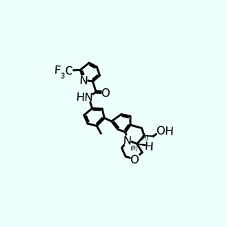 Cc1ccc(NC(=O)c2cccc(C(F)(F)F)n2)cc1-c1ccc2c(c1)N1CCOC[C@H]1[C@H](CO)C2